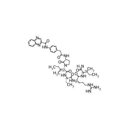 CC[C@H](NC(=O)[C@H]([C@@H](C)CC)N1CCC(NC(=O)Cc2ccc(NC(=O)c3cnc4ccccc4n3)cc2)C1=O)C(=O)N[C@H](CCCNC(=N)N)C(=O)N[C@H](C(N)=O)[C@@H](C)CC